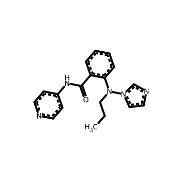 CCCN(c1ccccc1C(=O)Nc1ccncc1)n1ccnc1